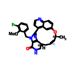 COc1c(F)cccc1Cn1c2nc3c1C(=O)NC[C@H]3C/C=C\[C@H](C)Oc1ccc3nccc-2c3c1